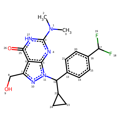 CN(C)c1nc2c(c(CO)nn2C(c2ccc(C(F)F)cc2)C2CC2)c(=O)[nH]1